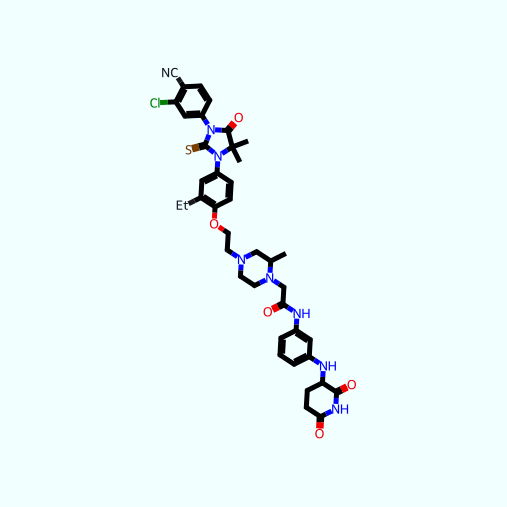 CCc1cc(N2C(=S)N(c3ccc(C#N)c(Cl)c3)C(=O)C2(C)C)ccc1OCCN1CCN(CC(=O)Nc2cccc(NC3CCC(=O)NC3=O)c2)C(C)C1